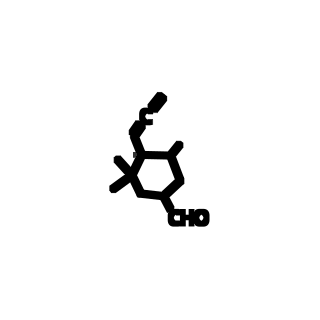 C=C=C[C]1C(C)CC(C=O)CC1(C)C